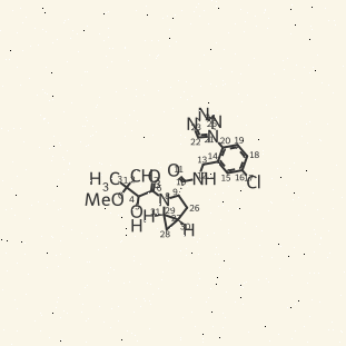 COC(C)(C)C(O)C(=O)N1[C@H](C(=O)NCc2cc(Cl)ccc2-n2cnnn2)C[C@@H]2C[C@@H]21